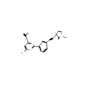 CNc1cc(C(N)=O)nc(-c2cccc(C#C[C@]3(O)CCN(C)C3=O)c2)n1